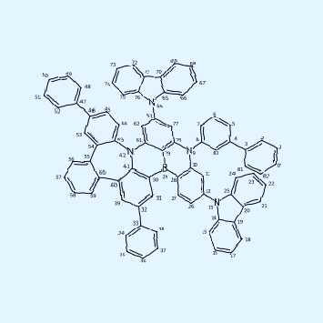 c1ccc(-c2cccc(N3c4cc(-n5c6ccccc6c6ccccc65)ccc4B4c5cc(-c6ccccc6)cc6c5N(c5ccc(-c7ccccc7)cc5-c5ccccc5-6)c5cc(-n6c7ccccc7c7ccccc76)cc3c54)c2)cc1